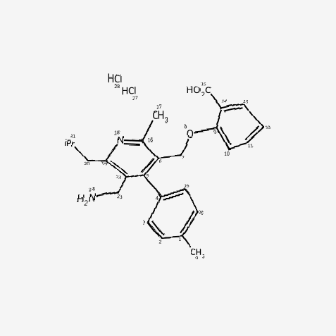 Cc1ccc(-c2c(COc3ccccc3C(=O)O)c(C)nc(CC(C)C)c2CN)cc1.Cl.Cl